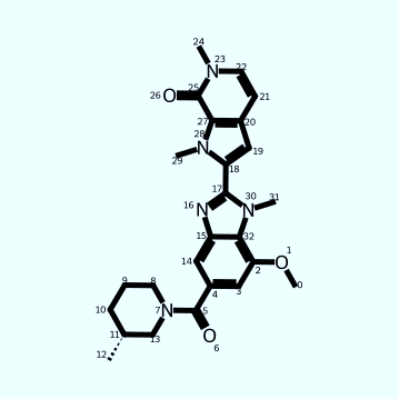 COc1cc(C(=O)N2CCC[C@@H](C)C2)cc2nc(-c3cc4ccn(C)c(=O)c4n3C)n(C)c12